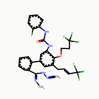 C=NN/C(=N\C)c1ccccc1-c1cc(C/C=C/C(F)(F)F)c(OCCC(F)(F)F)c(NC(=O)Nc2ccccc2F)c1